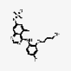 Cc1cc(N=S(C)(C)=O)cc2ncnc(Nc3ccc(F)cc3OCCCO)c12